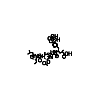 CC[C@H](C)[C@H](NC(=O)CC(C)C)C(=O)N(C)[C@H](C[C@@H](OC(C)=O)c1nc(C(=O)N[C@@H](Cc2ccc(OP(=O)(O)O)cc2)CC(C)C(=O)O)cs1)C(C)C